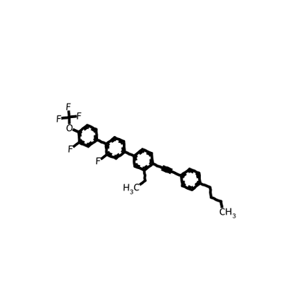 CCCCc1ccc(C#Cc2ccc(-c3ccc(-c4ccc(OC(F)(F)F)c(F)c4)c(F)c3)cc2CC)cc1